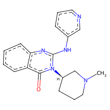 CN1CCC[C@@H](n2c(Nc3cccnc3)nc3ccccc3c2=O)C1